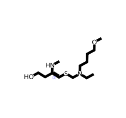 CCN(CCCCOC)CS/C=C(/CCO)NC